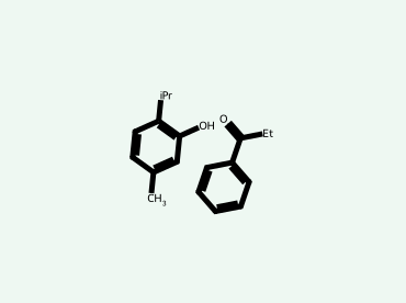 CCC(=O)c1ccccc1.Cc1ccc(C(C)C)c(O)c1